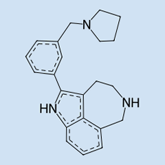 c1cc(CN2CCCC2)cc(-c2[nH]c3cccc4c3c2CCNC4)c1